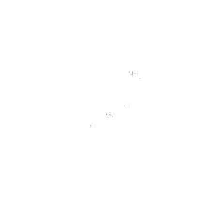 NCc1[c]cccc1.[Cl][Mg][Cl]